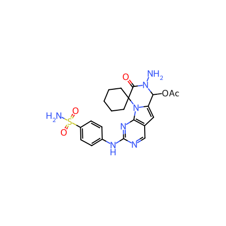 CC(=O)OC1c2cc3cnc(Nc4ccc(S(N)(=O)=O)cc4)nc3n2C2(CCCCC2)C(=O)N1N